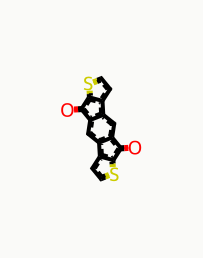 O=c1c2cc3c(cc2c2ccsc12)c(=O)c1sccc13